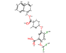 O=C(O)c1cc(OC2CCC(C(=O)OCc3cccc4ccccc34)CC2)c(F)cc1OC(F)F